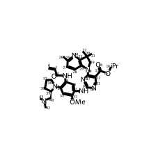 C=CC(=O)Nc1cc(Nc2ncc(C(=O)OC(C)C)c(N3CC(C)(C)c4nc(C)ccc43)n2)c(OC)cc1N1CCC[C@@H]1CN(C)C